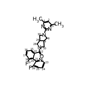 Cc1cc(C)nc(N2CC3CN(C(=O)c4cccc(F)c4-c4ncccc4F)CC3C2)n1